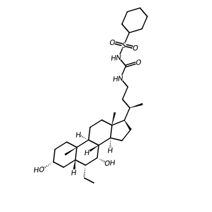 CC[C@H]1[C@@H](O)[C@@H]2[C@H](CC[C@]3(C)[C@@H]([C@H](C)CCNC(=O)NS(=O)(=O)C4CCCCC4)CC[C@@H]23)[C@@]2(C)CC[C@@H](O)C[C@@H]12